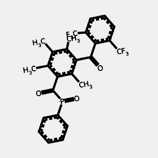 Cc1c(C)c(C(=O)c2c(C(F)(F)F)cccc2C(F)(F)F)c(C)c(C(=O)[P](=O)c2ccccc2)c1C